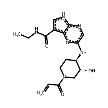 C=CC(=O)N1CC[C@@H](Nc2cnc3[nH]cc(C(=O)NCC)c3n2)[C@H](O)C1